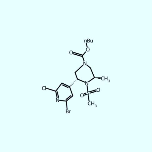 CCCCOC(=O)N1C[C@@H](C)N(S(C)(=O)=O)[C@H](c2cc(Cl)nc(Br)c2)C1